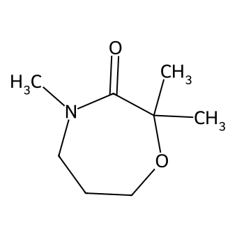 CN1CCCOC(C)(C)C1=O